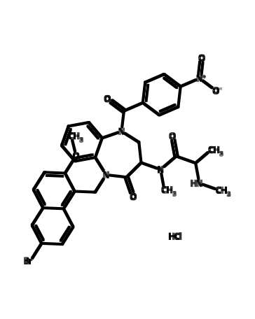 CNC(C)C(=O)N(C)C1CN(C(=O)c2ccc([N+](=O)[O-])cc2)c2ccccc2N(Cc2c(OC)ccc3cc(Br)ccc23)C1=O.Cl